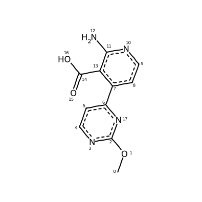 COc1nccc(-c2ccnc(N)c2C(=O)O)n1